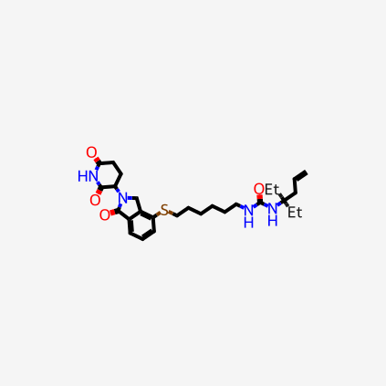 C=CCC(CC)(CC)NC(=O)NCCCCCCSc1cccc2c1CN(C1CCC(=O)NC1=O)C2=O